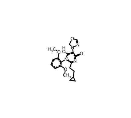 COc1cccc(OC)c1-n1c(CCC2CC2)nc(=O)c(N2COC=N2)c1O